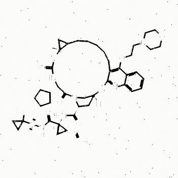 C=C[C@@H]1C[C@]1(NC(=O)[C@@H]1C[C@@H]2CN1C(=O)[C@H](C1CCCC1)NC(=O)O[C@@H]1CC1CCCCCc1c(nc3ccccc3c1OCCN1CCOCC1)O2)C(=O)NS(=O)(=O)C1(C)CC1